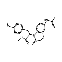 COC(=O)C(Cc1ccc(OC)cc1)N1C(=O)CSc2cc(NC(C)=O)ccc21